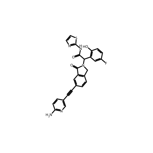 Nc1ccc(C#Cc2ccc3c(c2)C(=O)N(C(C(=O)Nc2nccs2)c2cc(F)ccc2O)C3)cn1